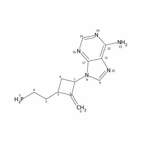 C=C1C(CCP)CC1n1cnc2c(N)ncnc21